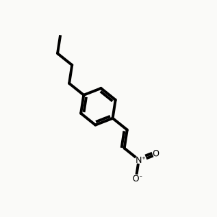 CCCCc1ccc(C=C[N+](=O)[O-])cc1